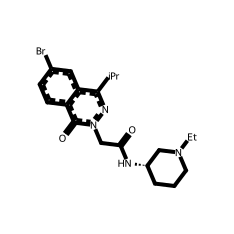 CCN1CCC[C@H](NC(=O)Cn2nc(C(C)C)c3cc(Br)ccc3c2=O)C1